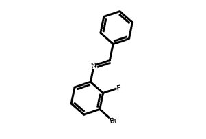 Fc1c(Br)cccc1N=Cc1ccccc1